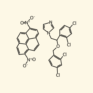 Clc1ccc(COC(Cn2ccnc2)c2ccc(Cl)cc2Cl)c(Cl)c1.O=[N+]([O-])c1ccc2ccc3c([N+](=O)[O-])ccc4ccc1c2c43